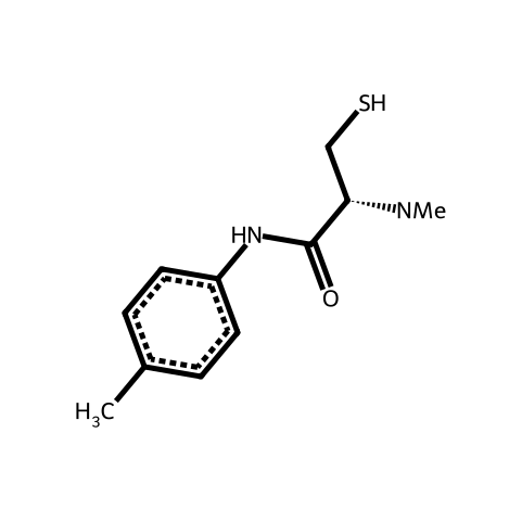 CN[C@@H](CS)C(=O)Nc1ccc(C)cc1